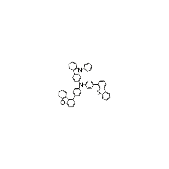 C1=CC(c2ccc(N(c3ccc(-c4cccc5c4sc4ccccc45)cc3)c3ccc4c5c(n(-c6ccccc6)c4c3)C=CCC5)cc2)C2C(=C1)OC1=C2C=CCC1